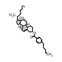 C=CCCCc1ccc(C(=O)O[C@H]2CC[C@@]3(C)C(=CC[C@H]4[C@@H]5CC[C@H]([C@H](C)CCCC(C)C)[C@@]5(C)CC[C@@H]43)C2)cc1